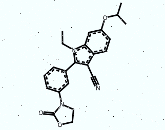 CCn1c(-c2cccc(N3CCOC3=O)c2)c(C#N)c2ccc(OC(C)C)cc21